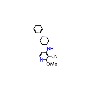 COc1nccc(N[C@H]2CC[C@@H](c3ccccc3)CC2)c1C#N